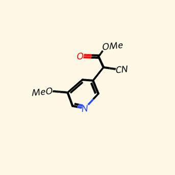 COC(=O)C(C#N)c1cncc(OC)c1